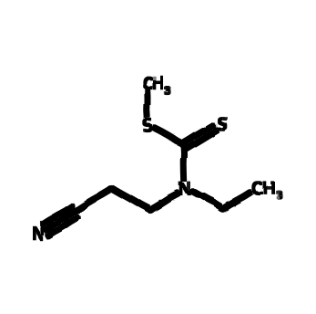 CCN(CCC#N)C(=S)SC